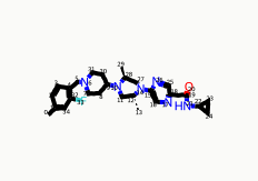 Cc1ccc(CN2CCC(N3C[C@@H](C)N(c4cnc(C(=O)NC5CC5)cn4)C[C@@H]3C)CC2)c(F)c1